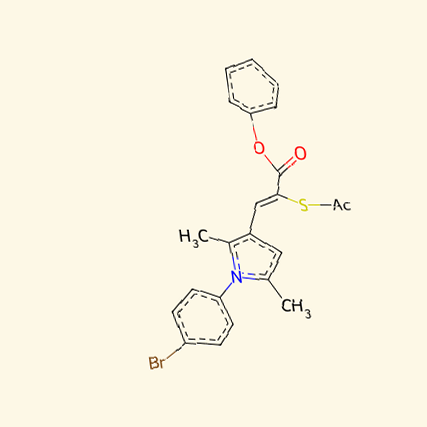 CC(=O)SC(=Cc1cc(C)n(-c2ccc(Br)cc2)c1C)C(=O)Oc1ccccc1